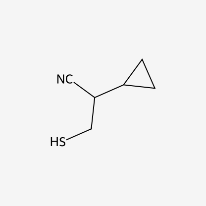 N#CC(CS)C1CC1